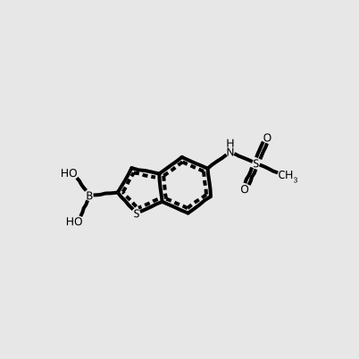 CS(=O)(=O)Nc1ccc2sc(B(O)O)cc2c1